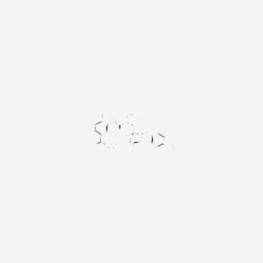 CNC(=O)c1cc(NC(=O)N2CCC[C@@H]2c2nnc(C)n2Cc2ccc(Cl)cc2)c(C)cc1C